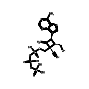 C#C[C@]1(COP(=O)(O)OP(=O)(O)OP(=O)(O)O)C(=C)[C@@H](n2cnc3c(N)ncnc32)[C@@H]1CO